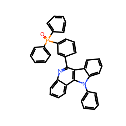 O=P(c1ccccc1)(c1ccccc1)c1cccc(-c2nc3ccccc3c3c2c2ccccc2n3-c2ccccc2)c1